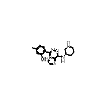 Cc1ccc(-c2nnc(N[C@@H]3CCCNC3)c3nccn23)c(O)c1